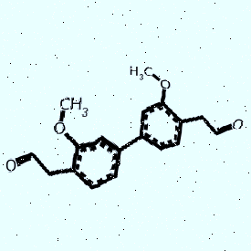 COc1cc(-c2ccc(CC=O)c(OC)c2)ccc1CC=O